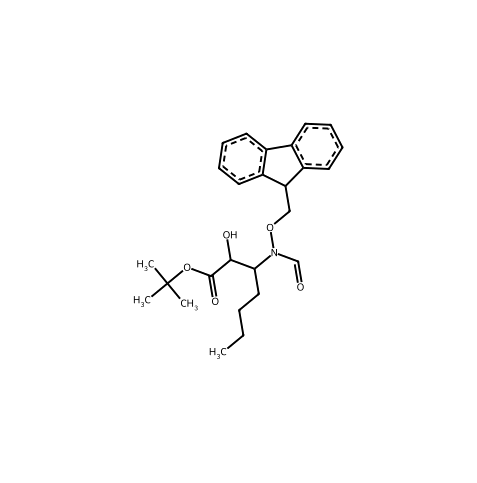 CCCCC(C(O)C(=O)OC(C)(C)C)N(C=O)OCC1c2ccccc2-c2ccccc21